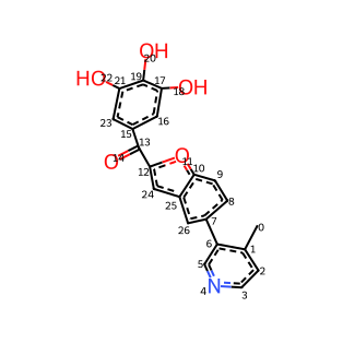 Cc1ccncc1-c1ccc2oc(C(=O)c3cc(O)c(O)c(O)c3)cc2c1